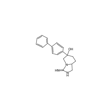 N=C1NCC2CCC(O)(c3ccc(-c4ccccc4)cc3)CN12